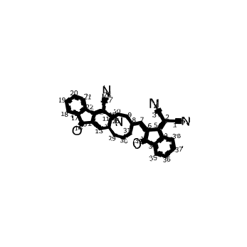 N#CC(C#N)=C1/C(=C/C2CCCC(/C=C3/C(=O)c4ccccc4C3=C(C#N)C#N)CCC2)C(=O)c2ccccc21